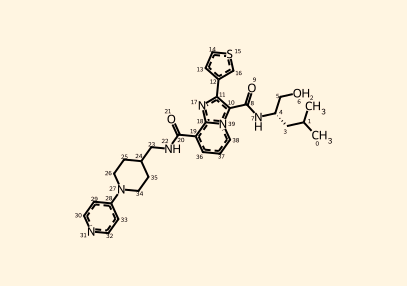 CC(C)C[C@@H](CO)NC(=O)c1c(-c2ccsc2)nc2c(C(=O)NCC3CCN(c4ccncc4)CC3)cccn12